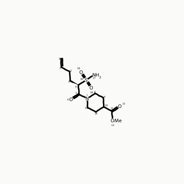 C=CCC[C@H](C(=O)N1CCC(C(=O)OC)CC1)S(N)(=O)=O